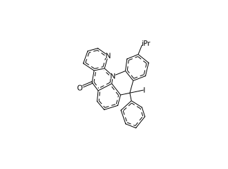 CC(C)c1ccc2c(c1)-n1c3ncccc3c(=O)c3cccc(c31)C2(I)c1ccccc1